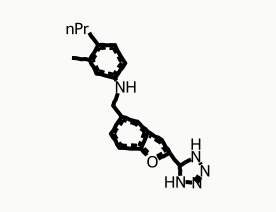 CCCc1ccc(NCc2ccc3oc(C4NN=NN4)cc3c2)cc1C